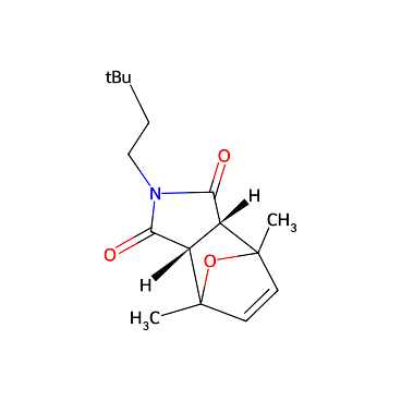 CC(C)(C)CCN1C(=O)[C@@H]2[C@H](C1=O)C1(C)C=CC2(C)O1